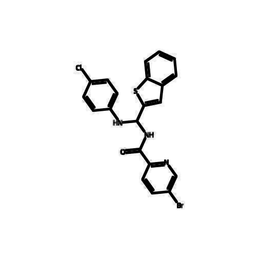 O=C(NC(Nc1ccc(Cl)cc1)c1cc2ccccc2s1)c1ccc(Br)cn1